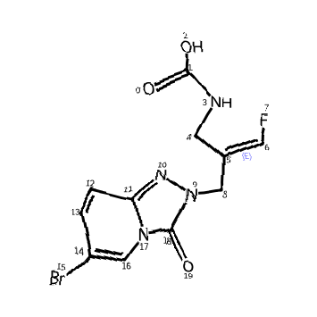 O=C(O)NC/C(=C\F)Cn1nc2ccc(Br)cn2c1=O